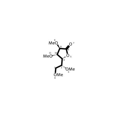 COC[C@@H](OC)[C@H]1OC(=O)[C@H](OC)[C@H]1OC